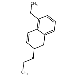 CCC[C@H]1C=Cc2c(CC)cccc2C1